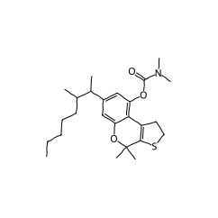 CCCCCC(C)C(C)c1cc(OC(=O)N(C)C)c2c(c1)OC(C)(C)C1=C2CCS1